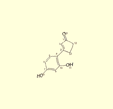 O=C1C=C(c2ccc(O)cc2O)CC1